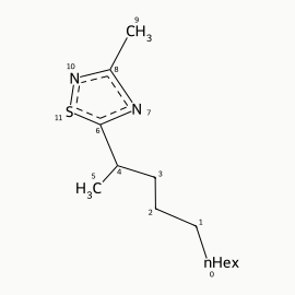 CCCCCCCCCC(C)c1nc(C)ns1